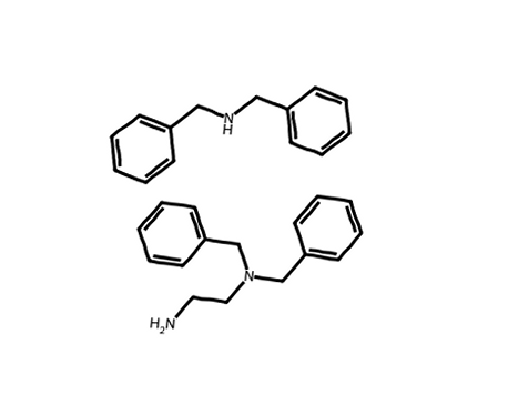 NCCN(Cc1ccccc1)Cc1ccccc1.c1ccc(CNCc2ccccc2)cc1